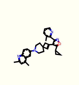 Cc1cc(C)c2cc(N3CCC4(C=C(c5c(-c6ncccc6C)noc5C5CC5)C4)CC3)ccc2n1